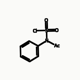 CC(=O)N(c1ccccc1)S(=O)(=O)Cl